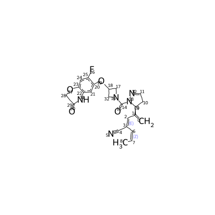 C=C(/C=C(C#N)\C=C/C)[C@@H]1CC=NN1C(=O)N1CC(Oc2cc3c(cc2F)OCC(=O)N3)C1